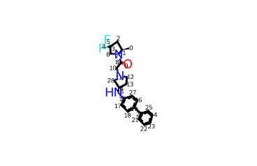 C[C@@H]1CC(F)(F)CN1C(=O)CN1CC[C@H](Nc2ccc(-c3ccccc3)cc2)C1